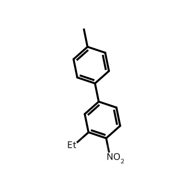 CCc1cc(-c2ccc(C)cc2)ccc1[N+](=O)[O-]